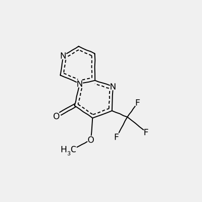 COc1c(C(F)(F)F)nc2ccncn2c1=O